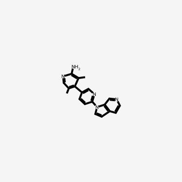 Cc1cnc(N)c(C)c1-c1ccc(-n2ccc3ccncc32)nc1